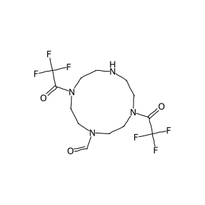 O=CN1CCN(C(=O)C(F)(F)F)CCNCCN(C(=O)C(F)(F)F)CC1